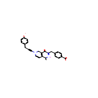 COc1ccc(CC#CN2C=CC3=C(C2)C(=O)C(Cc2ccc(C(=O)O)cc2)[NH+]([O-])C3C)cc1